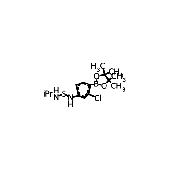 CC(C)NSNc1ccc(B2OC(C)(C)C(C)(C)O2)c(Cl)c1